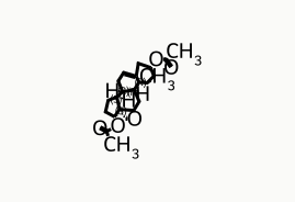 CC(=O)OC1CC[C@@]2(C)C(=CC[C@@H]3[C@H]2CC[C@@]2(C=O)C(OC(C)=O)CC[C@@H]32)C1